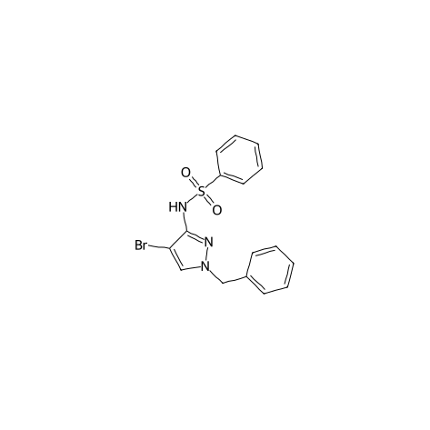 O=S(=O)(Nc1nn(Cc2ccccc2)cc1Br)c1ccccc1